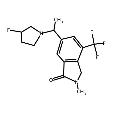 CC(c1cc2c(c(C(F)(F)F)c1)CN(C)C2=O)N1CCC(F)C1